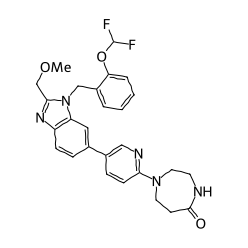 COCc1nc2ccc(-c3ccc(N4CCNC(=O)CC4)nc3)cc2n1Cc1ccccc1OC(F)F